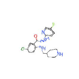 O=C(Nc1ccc(F)cn1)c1cc(Cl)ccc1NCC1CCNCC1